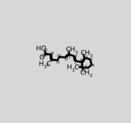 CC(C=CC1=C(C)CCCC1(C)C)=CCCC(C)=CC(=O)O